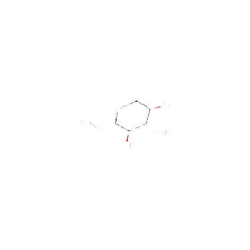 CC(C)(C)O[C@@H]1OC[C@@H](O)[C@H](O)[C@H]1O